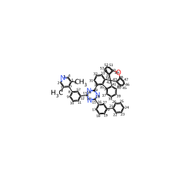 Cc1cncc(C)c1-c1cccc(-c2nc(-c3cccc(-c4ccccc4)c3)nc(-c3cccc4c3-c3ccccc3C43c4ccccc4Oc4ccccc43)n2)c1